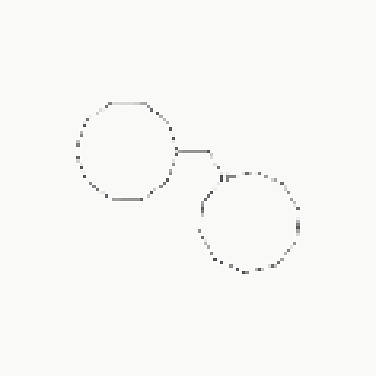 C1CCCCC(CN2CCCCCCCCC2)CCCC1